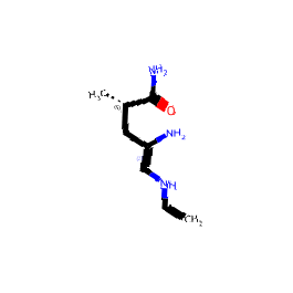 C=CN/C=C(\N)C[C@H](C)C(N)=O